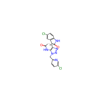 O=C1C[C@]2(C(=O)Nc3ccc(Cl)cc32)c2nnn(Cc3ccc(Cl)cn3)c2N1